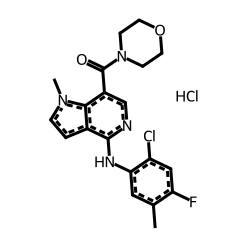 Cc1cc(Nc2ncc(C(=O)N3CCOCC3)c3c2ccn3C)c(Cl)cc1F.Cl